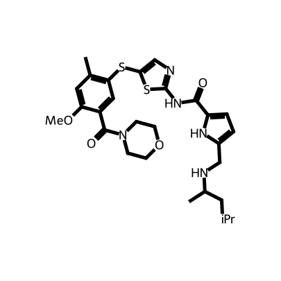 COc1cc(C)c(Sc2cnc(NC(=O)c3ccc(CNC(C)CC(C)C)[nH]3)s2)cc1C(=O)N1CCOCC1